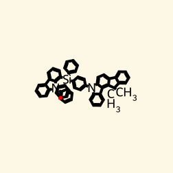 CC1(C)c2ccccc2-c2ccc3c(c21)c1ccccc1n3-c1ccc([Si](c2ccccc2)(c2ccccc2)c2cccc3c4ccccc4n(-c4ccccc4)c23)cc1